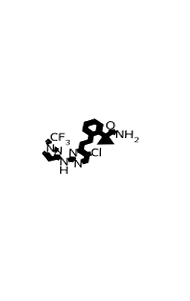 NC(=O)C1(c2ccccc2CCc2nc(Nc3ccn(CC(F)(F)F)n3)ncc2Cl)CC1